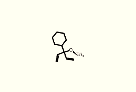 C=CC(C=C)(O[SiH3])C1CCCCC1